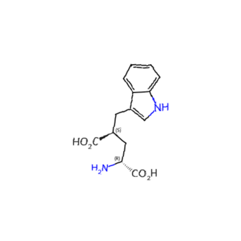 N[C@H](C[C@H](Cc1c[nH]c2ccccc12)C(=O)O)C(=O)O